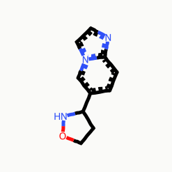 c1cn2cc(C3CCON3)ccc2n1